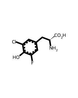 N[C@H](Cc1cc(F)c(O)c(Cl)c1)C(=O)O